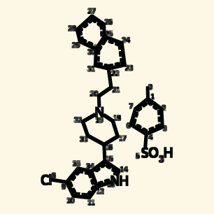 Cc1ccc(S(=O)(=O)O)cc1.Clc1ccc2[nH]cc(C3CCN(CCc4ccc5ccccc5c4)CC3)c2c1